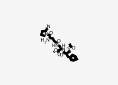 COC(=O)C(CNC(=O)CCC(N)C(=O)N1CCCC1C#N)NC(=O)C(CSC(C)=O)Cc1ccccc1